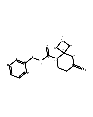 O=C1CCN(C(=O)OCc2ccccc2)C2(COC2)C1